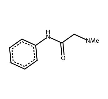 CNCC(=O)Nc1cc[c]cc1